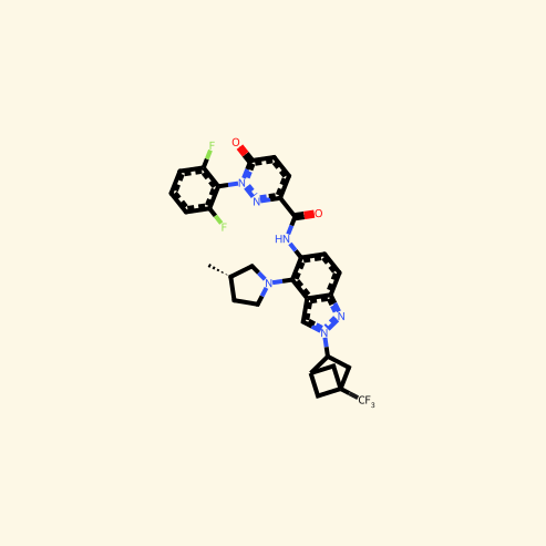 C[C@H]1CCN(c2c(NC(=O)c3ccc(=O)n(-c4c(F)cccc4F)n3)ccc3nn(C4CC5(C(F)(F)F)CC4C5)cc23)C1